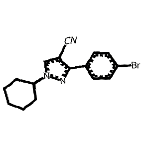 N#Cc1cn(C2CCCCC2)nc1-c1ccc(Br)cc1